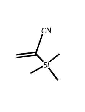 C=C(C#N)[Si](C)(C)C